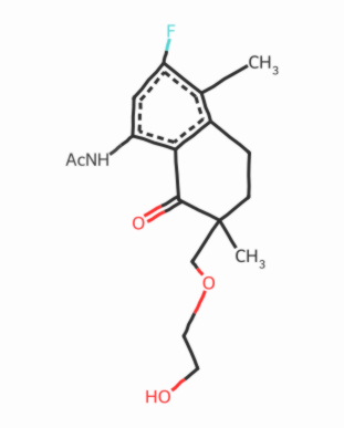 CC(=O)Nc1cc(F)c(C)c2c1C(=O)C(C)(COCCO)CC2